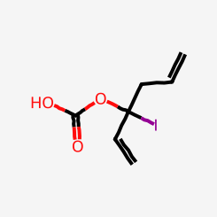 C=CCC(I)(C=C)OC(=O)O